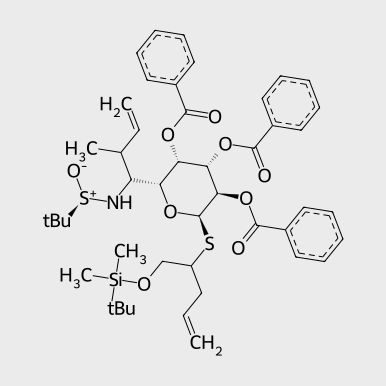 C=CCC(CO[Si](C)(C)C(C)(C)C)S[C@H]1O[C@H](C(N[S@+]([O-])C(C)(C)C)C(C)C=C)[C@H](OC(=O)c2ccccc2)[C@H](OC(=O)c2ccccc2)[C@H]1OC(=O)c1ccccc1